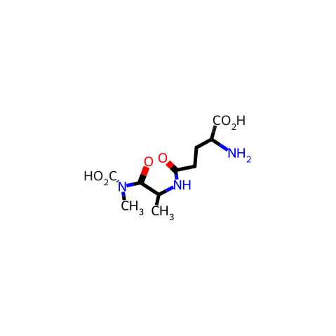 CC(NC(=O)CCC(N)C(=O)O)C(=O)N(C)C(=O)O